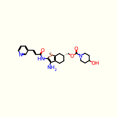 Nc1c(NC(=O)/C=C/c2cccnc2)sc2c1CC[C@@H](COC(=O)N1CCC(O)CC1)C2